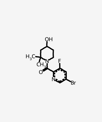 CC1(C)CC(O)CCN1C(=O)c1ncc(Br)cc1F